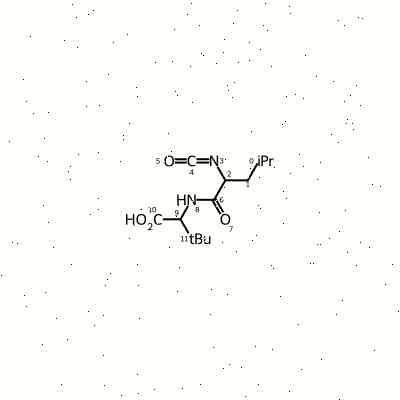 CC(C)CC(N=C=O)C(=O)NC(C(=O)O)C(C)(C)C